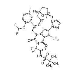 Cc1c(-n2nccn2)sc2c1c(=O)n(C1(C(=O)NS(=O)(=O)C(C)(C)C)CC1)c(=O)n2C[C@H](O[C@@H]1C[C@H]2CC[C@@H](C1)O2)c1cc(F)ccc1OC(F)F